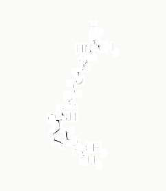 CC(C)COc1cccc(C(=O)NCCOCCOCCOCNC(C)C)c1